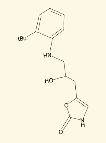 CC(C)(C)c1ccccc1NCC(O)Cc1c[nH]c(=O)o1